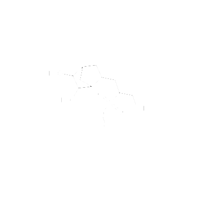 CCC(CC1CC2CC1C(C)C2C)S(=O)(=O)OC